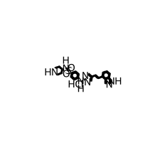 Cl.O=S(=O)(NC1CCNCC1)c1ccc(Nc2ncc(C=Cc3cccc4[nH]ncc34)cn2)cc1